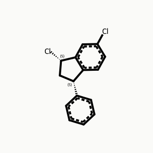 Clc1ccc2c(c1)[C@@H](Cl)C[C@H]2c1ccccc1